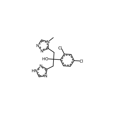 Cn1cnnc1CC(O)(Cc1nc[nH]n1)c1ccc(Cl)cc1Cl